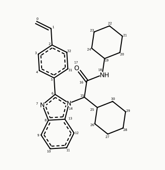 C=Cc1ccc(-c2nc3ccccc3n2C(C(=O)NC2CCCCC2)C2CCCCC2)cc1